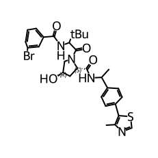 Cc1ncsc1-c1ccc(C(C)NC(=O)[C@@H]2C[C@@H](O)CN2C(=O)C(NC(=O)c2cccc(Br)c2)C(C)(C)C)cc1